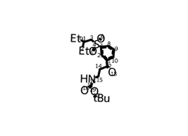 CCC(CC)CS(=O)(=O)c1cccc(C(=O)CCNC(=O)OC(C)(C)C)c1